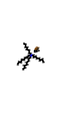 CCCCCCCC[N+](CCCCCCCC)(CCCCCCCC)CCCCCCCC.[Br-].[Br-].[Br-].[Co+2]